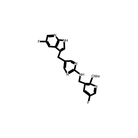 COc1ncc(F)cc1CNc1ncc(Cc2c[nH]c3ncc(F)cc23)cn1